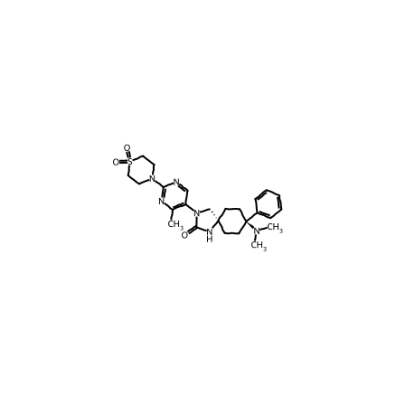 Cc1nc(N2CCS(=O)(=O)CC2)ncc1N1C[C@]2(CC[C@](c3ccccc3)(N(C)C)CC2)NC1=O